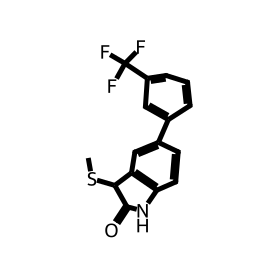 CSC1C(=O)Nc2ccc(-c3cccc(C(F)(F)F)c3)cc21